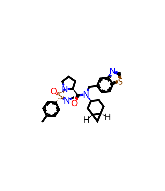 CN=[S@](=O)(c1ccc(C)cc1)N1CCC[C@H]1C(=O)N(Cc1ccc2scnc2c1)[C@H]1CC[C@H]2C[C@H]2C1